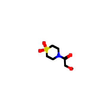 [O]CC(=O)N1CCS(=O)(=O)CC1